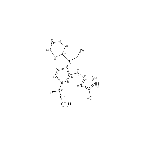 CC(C)CN(c1ccc([C@H](C)CC(=O)O)cc1Nc1n[nH]c(Cl)n1)C1CCOCC1